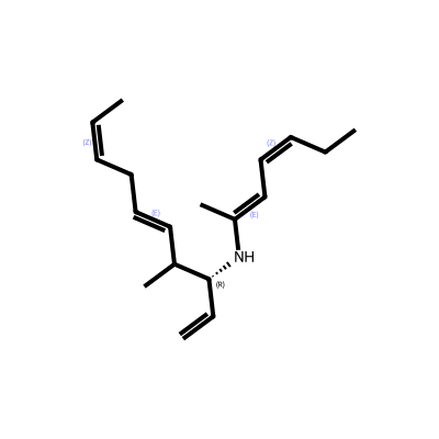 C=C[C@@H](N/C(C)=C/C=C\CC)C(C)/C=C/C/C=C\C